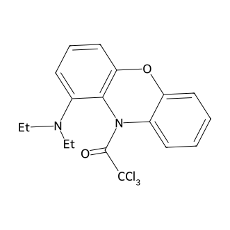 CCN(CC)c1cccc2c1N(C(=O)C(Cl)(Cl)Cl)c1ccccc1O2